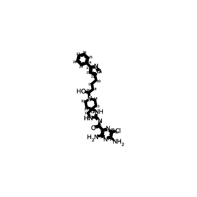 Nc1nc(N)c(C(=O)/N=C2\NCC3(CCN(C(O)CCCc4cc(-c5ccccc5)no4)CC3)N2)nc1Cl